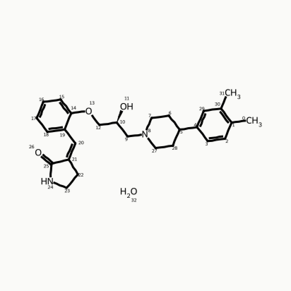 Cc1ccc(C2CCN(C[C@H](O)COc3ccccc3C=C3CCNC3=O)CC2)cc1C.O